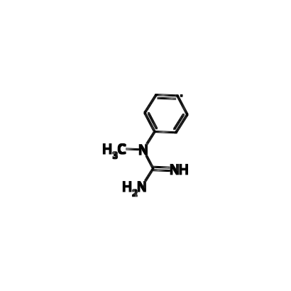 CN(C(=N)N)c1cc[c]cc1